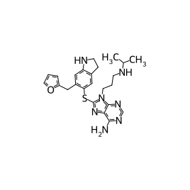 CC(C)NCCCn1c(Sc2cc3c(cc2Cc2ccco2)NCC3)nc2c(N)ncnc21